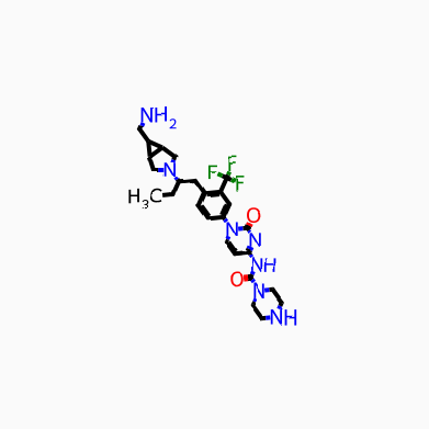 CCC(Cc1ccc(-n2ccc(NC(=O)N3CCNCC3)nc2=O)cc1C(F)(F)F)N1CC2C(CN)C2C1